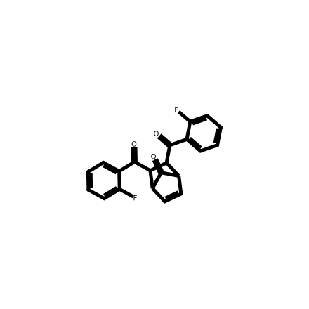 O=C1C2C=CC1C(C(=O)c1ccccc1F)C2C(=O)c1ccccc1F